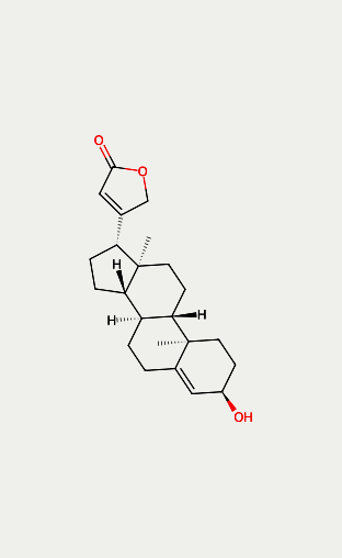 C[C@]12CC[C@H]3[C@@H](CCC4=C[C@H](O)CC[C@@]43C)[C@@H]1CC[C@@H]2C1=CC(=O)OC1